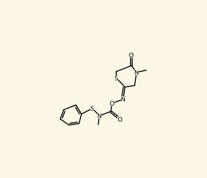 CN1CC(=NOC(=O)N(C)Sc2ccccc2)SCC1=O